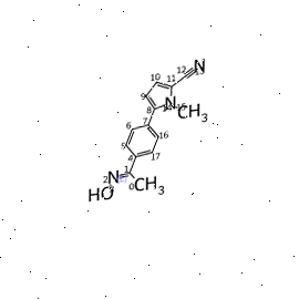 C/C(=N\O)c1ccc(-c2ccc(C#N)n2C)cc1